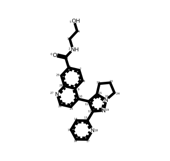 O=C(NCCO)c1ccc2c(-c3c(-c4ccccn4)nn4c3CCC4)ccnc2c1